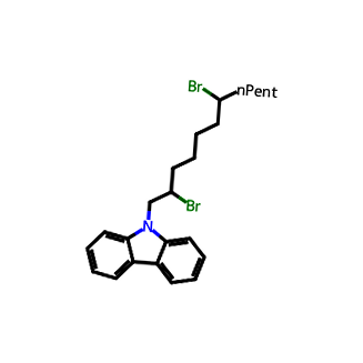 CCCCCC(Br)CCCCC(Br)Cn1c2ccccc2c2ccccc21